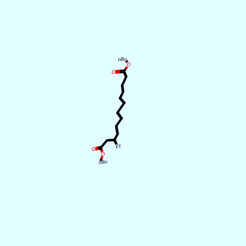 CCCCOC(=O)CCCCCCCCCC(CC)CC(=O)OCCCC